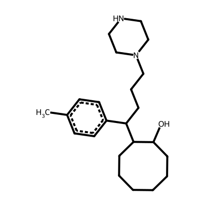 Cc1ccc(C(CCCN2CCNCC2)C2CCCCCCC2O)cc1